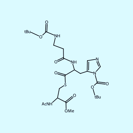 COC(=O)C(CSC(=O)C(Cc1cncn1C(=O)OC(C)(C)C)NC(=O)CCNC(=O)OC(C)(C)C)NC(C)=O